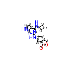 O=C1OCc2ccc(Nc3nc(NC4CCC4)c4cc[nH]c4n3)cc21